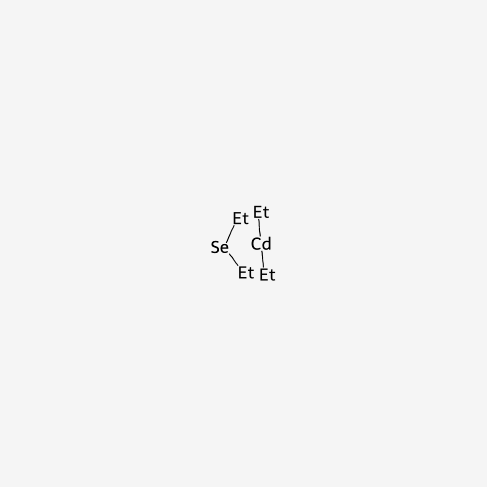 CC[Se]CC.C[CH2][Cd][CH2]C